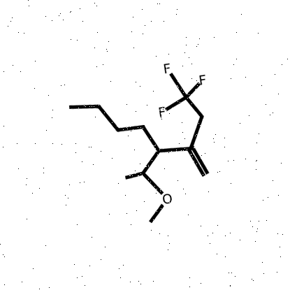 C=C(CC(F)(F)F)C(CCCC)C(C)OC